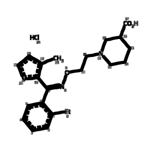 CCc1ccccc1C(=NOCCN1CCCC(C(=O)O)C1)c1sccc1C.Cl